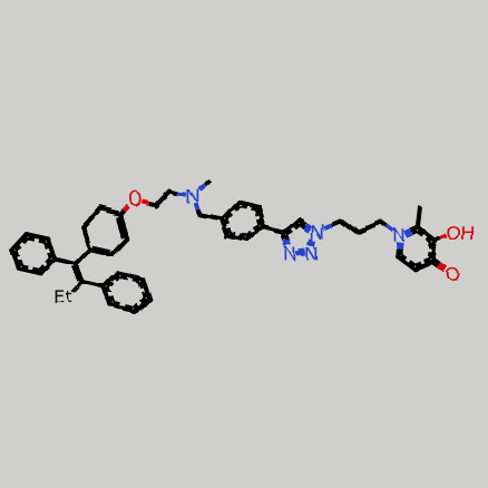 CC/C(=C(/C1=CC=C(OCCN(C)Cc2ccc(-c3cn(CCCn4ccc(=O)c(O)c4C)nn3)cc2)CC1)c1ccccc1)c1ccccc1